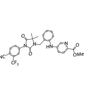 COC(=O)c1ccc(Nc2ccccc2CN2C(=O)N(c3ccc(C#N)c(C(F)(F)F)c3)C(=O)C2(C)C)cn1